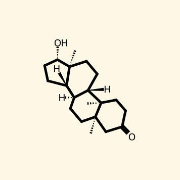 C[C@]12CC[C@H]3[C@@H](CC[C@]4(C)CC(=O)CC[C@]34C)[C@@H]1CC[C@@H]2O